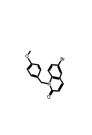 COc1ccc(Cn2c(=O)ccc3cc(Br)ccc32)cc1